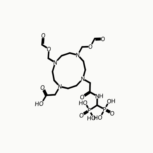 O=COCN1CCN(COC=O)CCN(CC(=O)NC(P(=O)(O)O)P(=O)(O)O)CCN(CC(=O)O)CC1